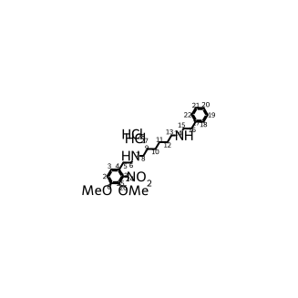 COc1ccc(CCNCCCCCCNCCc2ccccc2)c([N+](=O)[O-])c1OC.Cl.Cl